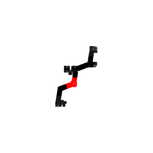 CCCCO[SiH2][Sn][CH2]C